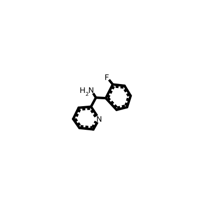 NC(c1ccccn1)c1ccccc1F